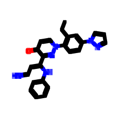 CCc1cc(-n2cccn2)ccc1-n1ccc(=O)c(/C(=C/C=N)Nc2ccccc2)n1